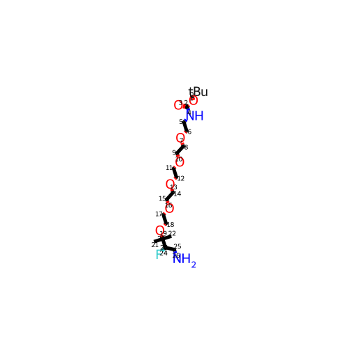 CC(C)(C)OC(=O)NCCOCCOCCOCCOCCOC(C)(C)C(F)CN